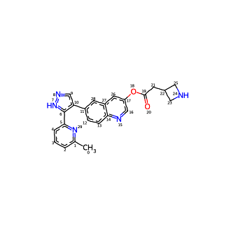 Cc1cccc(-c2[nH]ncc2-c2ccc3ncc(OC(=O)CC4CNC4)cc3c2)n1